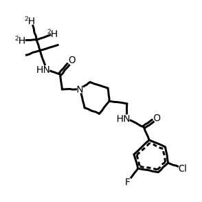 [2H]C([2H])([2H])C(C)(C)NC(=O)CN1CCC(CNC(=O)c2cc(F)cc(Cl)c2)CC1